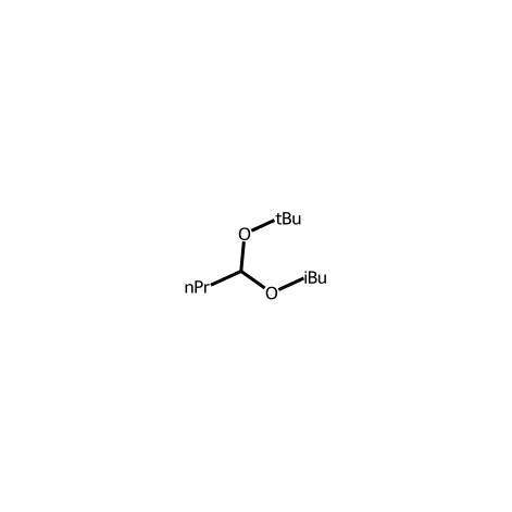 CCCC(OC(C)CC)OC(C)(C)C